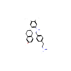 CCN(Cc1ccc(CCN(C)C(C)(C)C)cc1)c1cc(OC)c(OC)cc1[C@@H]1CCc2cc(O)ccc2C1